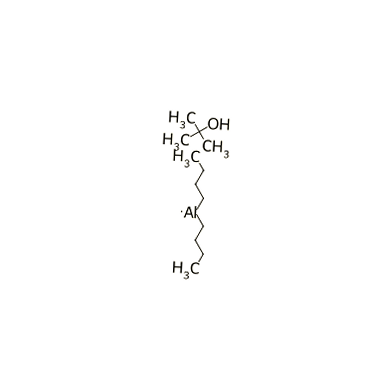 CC(C)(C)O.CCC[CH2][Al][CH2]CCC